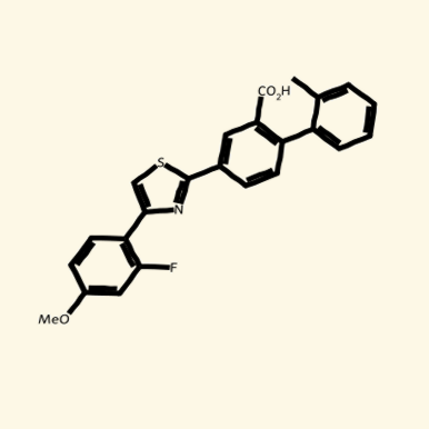 COc1ccc(-c2csc(-c3ccc(-c4ccccc4C)c(C(=O)O)c3)n2)c(F)c1